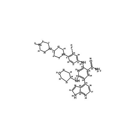 CN1CCN(C2CCN(c3ccc(Nc4nc(NC5CCOCC5)c(-c5ccnc6[nH]ccc56)nc4C(N)=O)cc3F)CC2)CC1